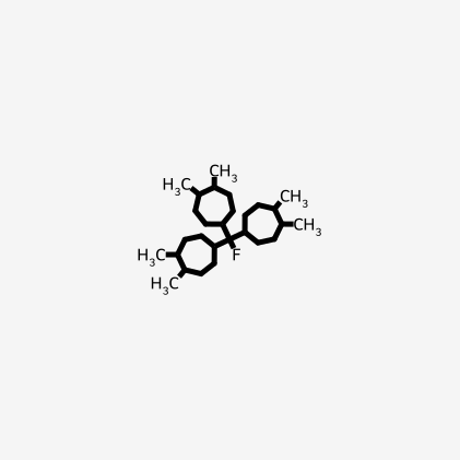 CC1CCC(C(F)(C2CCC(C)C(C)CC2)C2CCC(C)C(C)CC2)CCC1C